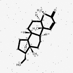 CN1C(=O)C=C[C@]2(C)[C@H]3CC[C@]4(C)[C@@H](CO)CC[C@H]4[C@@H]3CC[C@@H]12